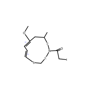 CO/C1=C/C=C/SCCN(C(=O)CI)CC(C)C1